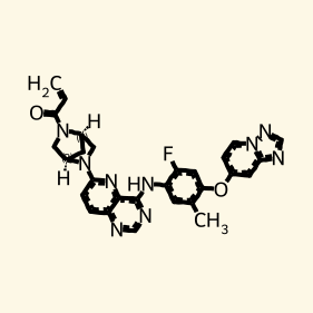 C=CC(=O)N1C[C@H]2C[C@@H]1CN2c1ccc2ncnc(Nc3cc(C)c(Oc4ccn5ncnc5c4)cc3F)c2n1